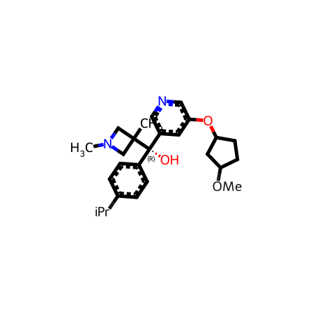 COC1CCC(Oc2cncc([C@@](O)(c3ccc(C(C)C)cc3)C3(C)CN(C)C3)c2)C1